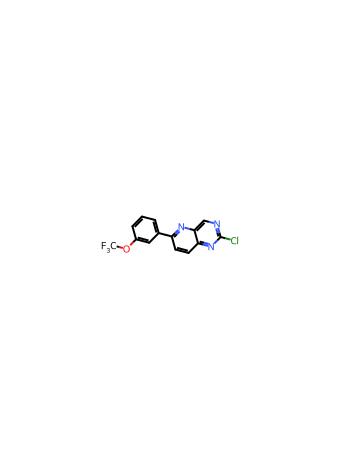 FC(F)(F)Oc1cccc(-c2ccc3nc(Cl)ncc3n2)c1